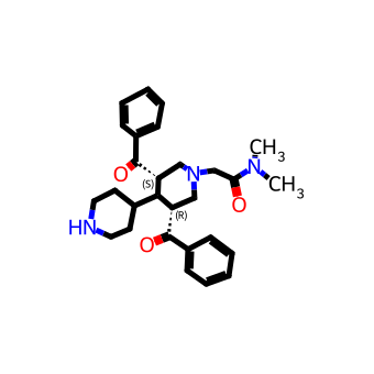 CN(C)C(=O)CN1C[C@H](C(=O)c2ccccc2)C(C2CCNCC2)[C@H](C(=O)c2ccccc2)C1